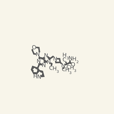 CCn1c(CN2CC(N(C)C(C)(C)C(N)=O)C2)nc2c(N3CCOCC3)nc(-c3cccc4[nH]ccc34)nc21